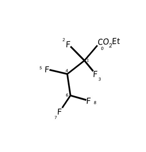 CCOC(=O)C(F)(F)C(F)C(F)F